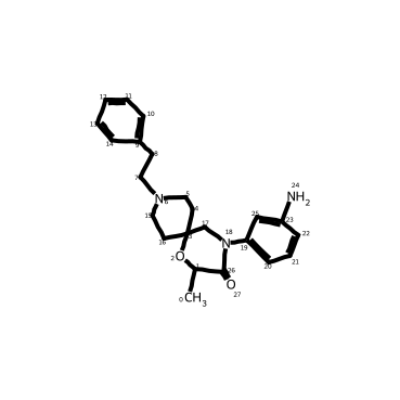 CC1OC2(CCN(CCc3ccccc3)CC2)CN(c2cccc(N)c2)C1=O